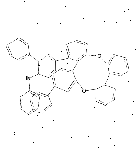 C1=CC2Oc3cc(-c4ccccc4)ccc3-c3c(cccc3-c3ccc(Nc4ccccc4)c(-c4ccccc4)c3)Oc3ccccc3C2C=C1